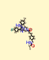 CCC(=O)NCc1ccc(CCC(=O)N2CCn3c(nc(-c4ccc(F)cc4)c3Nc3ccc(C)cc3)C2)cc1